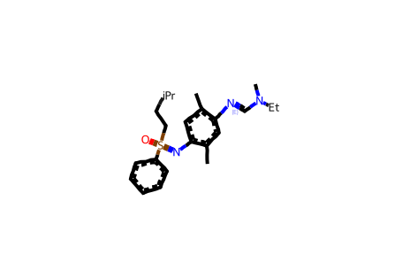 CCN(C)/C=N/c1cc(C)c(N=S(=O)(CCC(C)C)c2ccccc2)cc1C